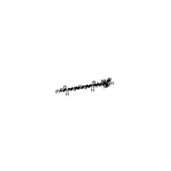 CC(C)OCC(=O)NCCCOCCOCCOCCCNC(=O)CCCC[C@H]1SC[C@@]2(C)NC(=O)N[C@@H]12